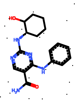 NC(=O)c1cnc(N[C@@H]2CCCCC2O)nc1Nc1ccccc1